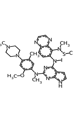 COc1cc(N2CCN(C)CC2)c(C)cc1N(C)c1nc(N(I)c2ccc3nccnc3c2N(C)SC)c2cc[nH]c2n1